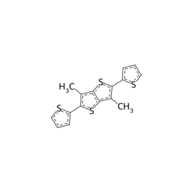 Cc1c(-c2cccs2)sc2c(C)c(-c3cccs3)sc12